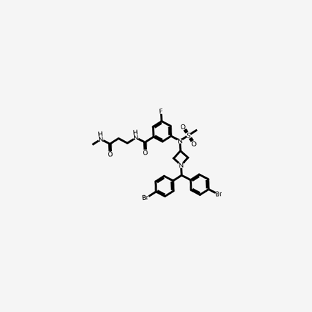 CNC(=O)CCNC(=O)c1cc(F)cc(N(C2CN(C(c3ccc(Br)cc3)c3ccc(Br)cc3)C2)S(C)(=O)=O)c1